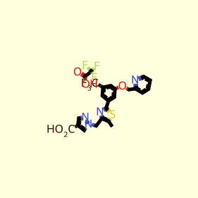 Cc1sc(-c2cc(OCc3ccccn3)cc(C(F)(F)F)c2)nc1Cn1cc(C(=O)O)cn1.O=C(O)C(F)(F)F